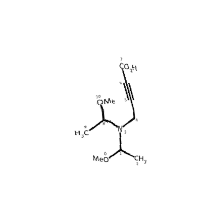 COC(C)N(CC#CC(=O)O)C(C)OC